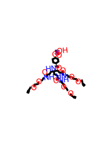 C#CCOCCOCCNC(=O)CCC(CCC(=O)NCCOCCOCC#C)(CCC(=O)NCCOCCOCC#C)NC(=O)[C@H]1CC[C@H](OP(C)(=O)O)CC1